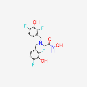 O=C(CN(Cc1ccc(F)c(O)c1F)Cc1ccc(F)c(O)c1F)NO